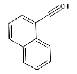 C#Cc1cccc2ccccc12